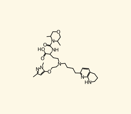 Cc1cc(OCCN(CCCCc2ccc3c(n2)NCCC3)CCC(NC(=O)N2C(C)COCC2C)C(=O)O)n(C)n1